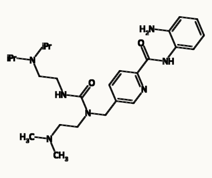 CC(C)N(CCNC(=O)N(CCN(C)C)Cc1ccc(C(=O)Nc2ccccc2N)nc1)C(C)C